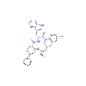 CN(C)C[C@@H]1Cc2cc(Cl)ccc2N(C(=O)[C@@H](Cc2c[nH]c3ccccc23)NC(=O)N2CCC(c3ccccc3)CC2)C1